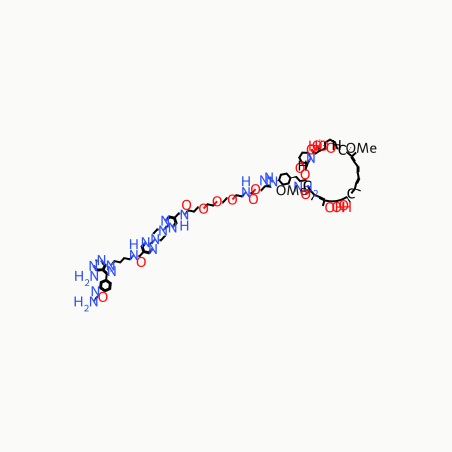 CO[C@H]1C[C@@H]2CC[C@@H](C)[C@@](O)(O2)C(=O)C(=O)N2CCCC[C@H]2C(=O)O[C@H]([C@H](N)C[C@@H]2CC[C@H](n3cc(COC(=O)NCCOCCOCCOCCC(=O)NCc4cnc(N5CCN(c6ncc(C(=O)NCCCCn7nc(-c8ccc9oc(N)nc9c8)c8c(N)ncnc87)cn6)CC5)nc4)nn3)[C@H](OC)C2)CC(=O)[C@H](C)/C=C(\C)[C@@H](O)[C@@H](O)C(=O)[C@H](C)C[C@H](C)/C=C/C=C/C=C/1C